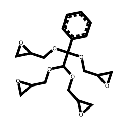 c1ccc(C(OCC2CO2)(OCC2CO2)C(OCC2CO2)OCC2CO2)cc1